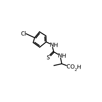 CC(NC(=S)Nc1ccc(Cl)cc1)C(=O)O